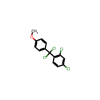 COc1ccc(C(Cl)(Cl)c2ccc(Cl)cc2Cl)cc1